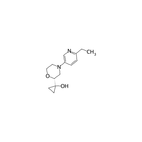 CCc1ccc(N2CCO[C@@H](C3(O)CC3)C2)cn1